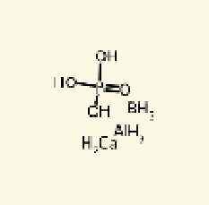 B.O=P(O)(O)O.[AlH3].[CaH2]